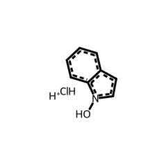 Cl.On1ccc2ccccc21.[H+]